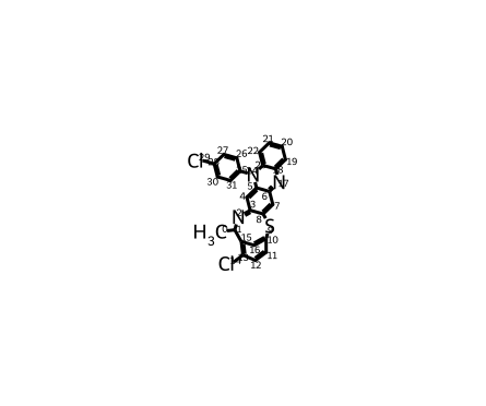 CC1N=c2cc3c(cc2Sc2ccc(Cl)c1c2)=Nc1ccccc1N3c1ccc(Cl)cc1